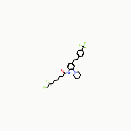 O=C(CCCCC[C@H](F)CF)Nc1ccc(CCc2ccc(C(F)(F)F)cc2)cc1N1CCCCC1